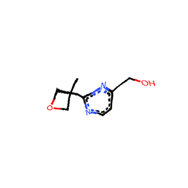 CC1(c2nccc(CO)n2)COC1